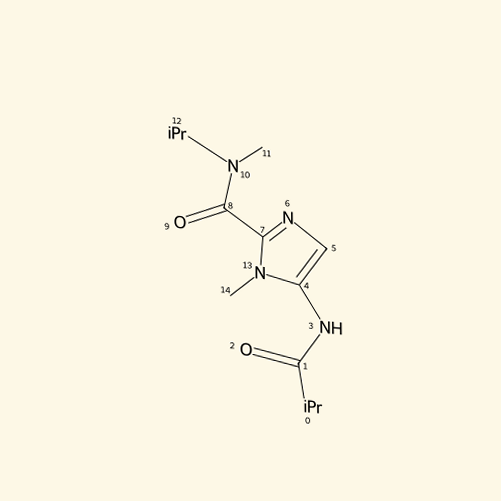 CC(C)C(=O)Nc1cnc(C(=O)N(C)C(C)C)n1C